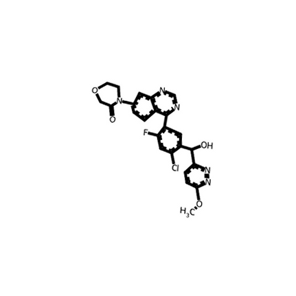 COc1ccc(C(O)c2cc(-c3ncnc4cc(N5CCOCC5=O)ccc34)c(F)cc2Cl)nn1